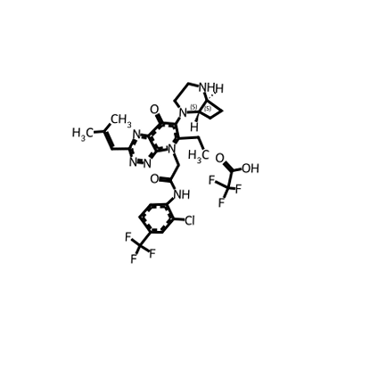 CCc1c(N2CCN[C@H]3CC[C@@H]32)c(=O)c2nc(C=C(C)C)nnc2n1CC(=O)Nc1ccc(C(F)(F)F)cc1Cl.O=C(O)C(F)(F)F